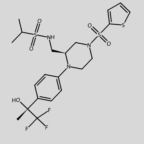 CC(C)S(=O)(=O)NC[C@H]1CN(S(=O)(=O)c2cccs2)CCN1c1ccc([C@@](C)(O)C(F)(F)F)cc1